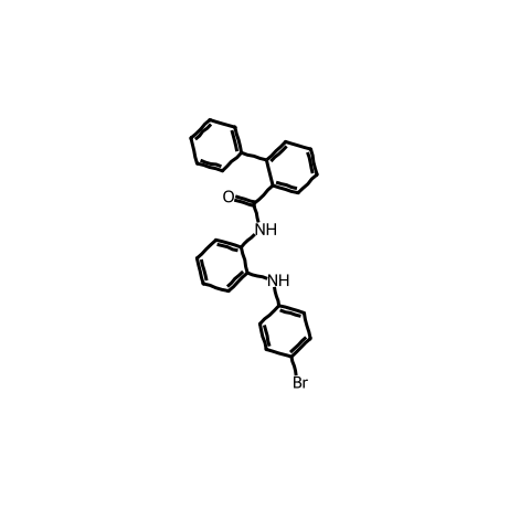 O=C(Nc1ccccc1Nc1ccc(Br)cc1)c1ccccc1-c1ccccc1